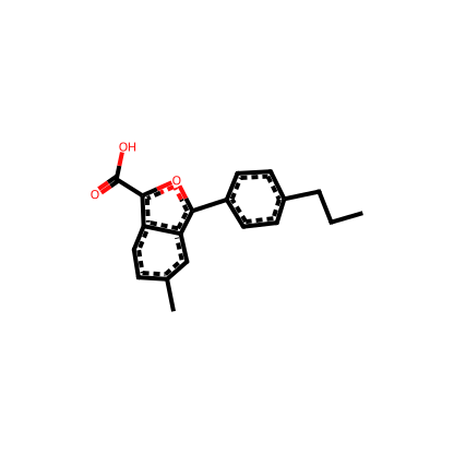 CCCc1ccc(-c2oc(C(=O)O)c3ccc(C)cc23)cc1